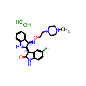 CN1CCN(CCO/N=C2/C(=C3/C(=O)Nc4ccc(Br)cc43)Nc3ccccc32)CC1.Cl.Cl